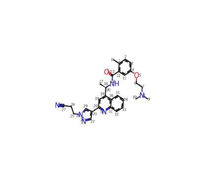 Cc1ccc(OCCN(C)C)cc1C(=O)N[C@H](C)c1cc(-c2cnn(CCC#N)c2)nc2ccccc12